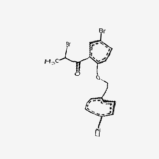 CC(Br)C(=O)c1cc(Br)ccc1OCc1ccc(Cl)cc1